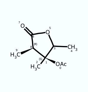 CC(=O)O[C@]1(C)C(C)OC(=O)[C@@H]1C